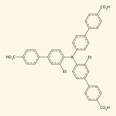 CCc1cc(-c2ccc(C(=O)O)cc2)ccc1B(c1ccc(-c2ccc(C(=O)O)cc2)cc1)c1ccc(-c2ccc(C(=O)O)cc2)cc1CC